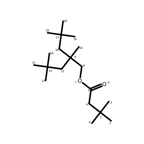 CC(C)(C)CC(=O)OCC(C)(CC(C)(C)C)CC(C)(C)C